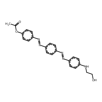 CC(=O)Oc1ccc(N=Nc2ccc(N=Nc3ccc(NCCO)cc3)cc2)cc1